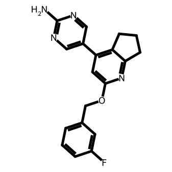 Nc1ncc(-c2cc(OCc3cccc(F)c3)nc3c2CCC3)cn1